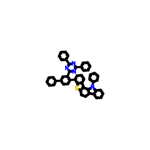 c1ccc(-c2ccc(-c3cccc4c3sc3ccc5c6ccccc6n(-c6ccccc6)c5c34)c(-c3nc(-c4ccccc4)nc(-c4ccccc4)n3)c2)cc1